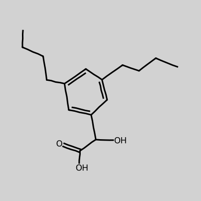 CCCCc1cc(CCCC)cc(C(O)C(=O)O)c1